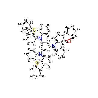 c1ccc(N(c2cc(N(c3ccccc3)c3cccc4c3sc3ccccc34)cc(-n3c4ccccc4c4c5oc6ccccc6c5ccc43)c2)c2cccc3c2sc2ccccc23)cc1